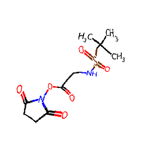 CC(C)(C)S(=O)(=O)NCC(=O)ON1C(=O)CCC1=O